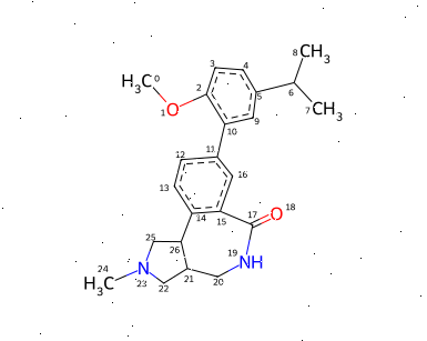 COc1ccc(C(C)C)cc1-c1ccc2c(c1)C(=O)NCC1CN(C)CC21